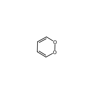 C1=COOC=C1